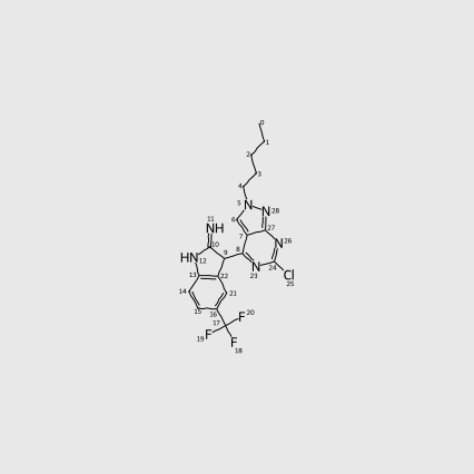 CCCCCn1cc2c(C3C(=N)Nc4ccc(C(F)(F)F)cc43)nc(Cl)nc2n1